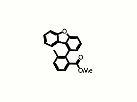 COC(=O)c1cccc(C)c1-c1cccc2oc3ccccc3c12